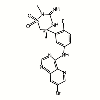 CN1C(=N)N[C@](C)(c2cc(Nc3ncnc4cc(Br)cnc34)ccc2F)CS1(=O)=O